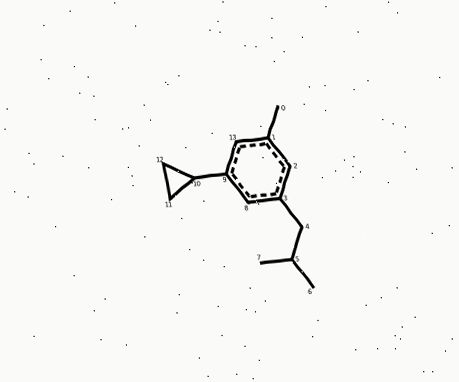 [CH2]c1cc(CC(C)C)cc(C2CC2)c1